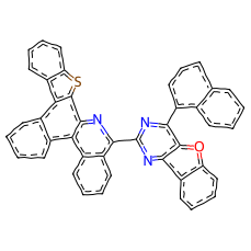 c1ccc2c(-c3nc(-c4nc5c6sc7ccccc7c6c6ccccc6c5c5ccccc45)nc4c3oc3ccccc34)cccc2c1